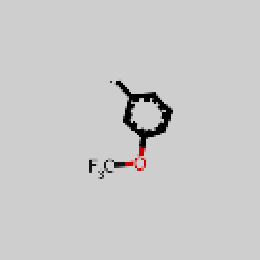 [CH2]c1cccc(OC(F)(F)F)c1